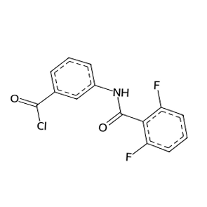 O=C(Cl)c1cccc(NC(=O)c2c(F)cccc2F)c1